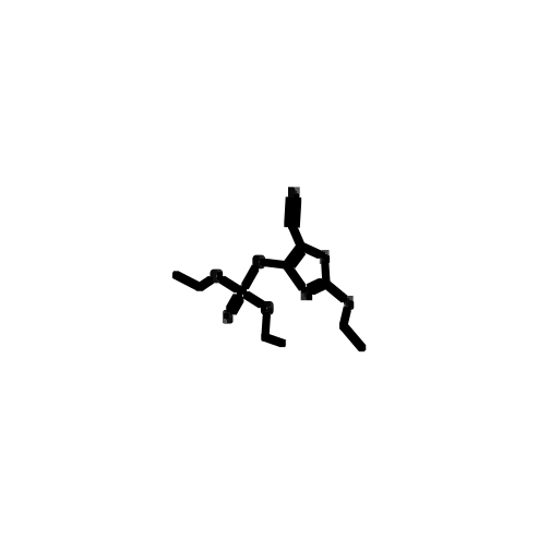 CCOP(=S)(OCC)Oc1nc(SCC)sc1C#N